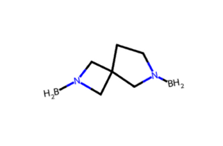 BN1CCC2(C1)CN(B)C2